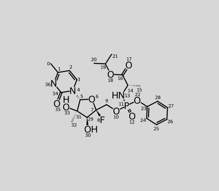 Cc1ccn([C@@H]2O[C@](F)(CO[P@@](=O)(N[C@@H](C)C(=O)OC(C)C)Oc3ccccc3)[C@@H](O)[C@@]2(C)O)c(=O)n1